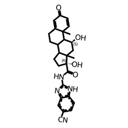 CC12C=CC(=O)C=C1CCC1C2[C@@H](O)CC2(C)C1CC[C@]2(O)C(=O)Nc1nc2cc(C#N)ccc2[nH]1